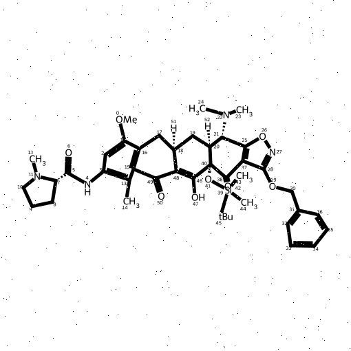 COc1cc(NC(=O)[C@@H]2CCCN2C)c(C)c2c1C[C@H]1C[C@H]3[C@H](N(C)C)c4onc(OCc5ccccc5)c4C(=O)[C@@]3(O[Si](C)(C)C(C)(C)C)C(O)=C1C2=O